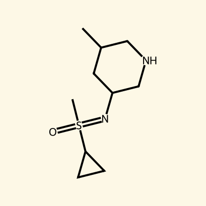 CC1CNCC(N=S(C)(=O)C2CC2)C1